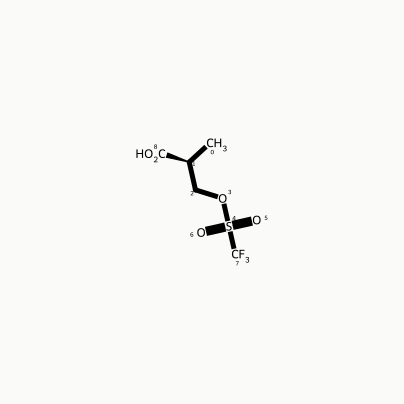 C[C@@H](COS(=O)(=O)C(F)(F)F)C(=O)O